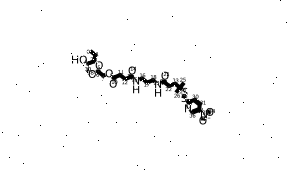 CCC(CO)OC(COC(=O)CCC(=O)NCCCNC(=O)CCC(C)(C)SSc1ccc([N+](=O)[O-])cn1)OC